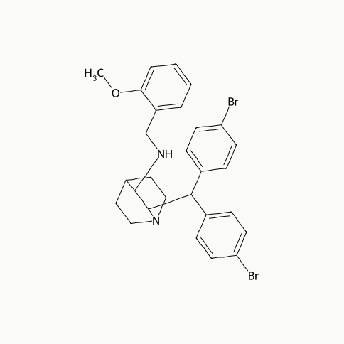 COc1ccccc1CNC1C2CCN(CC2)C1C(c1ccc(Br)cc1)c1ccc(Br)cc1